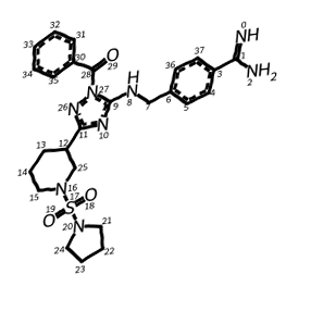 N=C(N)c1ccc(CNc2nc(C3CCCN(S(=O)(=O)N4CCCC4)C3)nn2C(=O)c2ccccc2)cc1